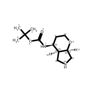 CC(C)(C)OC(=O)N[C@H]1CCO[C@H]2CNC[C@@H]12